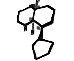 C1C[C@@H]2NCCN[C@@H]2[C@H](N2CCCC2)C1